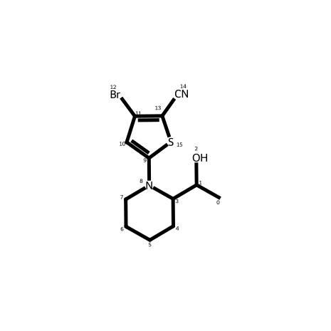 CC(O)C1CCCCN1c1cc(Br)c(C#N)s1